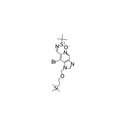 CC(C)(C)[S+]([O-])/N=C\c1ncc2ncn(COCC[Si](C)(C)C)c2c1Br